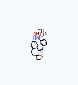 CS(=O)(=O)Nc1cccc(/C=C2\c3ccccc3CCc3ccsc32)c1